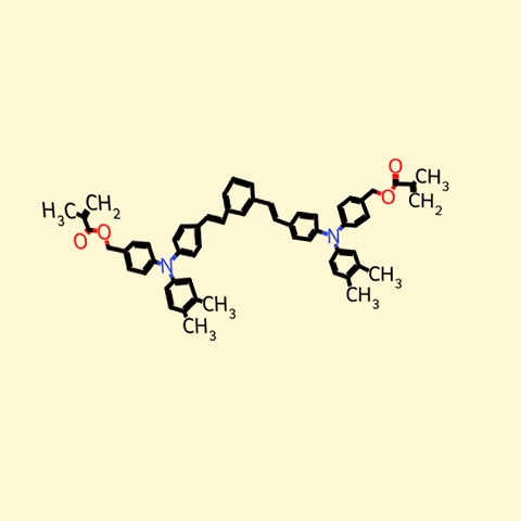 C=C(C)C(=O)OCc1ccc(N(c2ccc(C=Cc3cccc(C=Cc4ccc(N(c5ccc(COC(=O)C(=C)C)cc5)c5ccc(C)c(C)c5)cc4)c3)cc2)c2ccc(C)c(C)c2)cc1